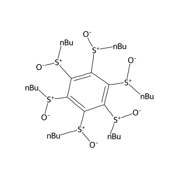 CCCC[S+]([O-])c1c([S+]([O-])CCCC)c([S+]([O-])CCCC)c([S+]([O-])CCCC)c([S+]([O-])CCCC)c1[S+]([O-])CCCC